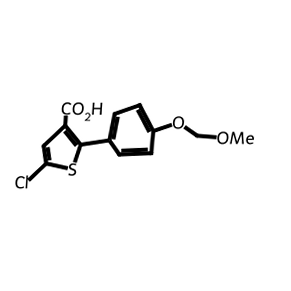 COCOc1ccc(-c2sc(Cl)cc2C(=O)O)cc1